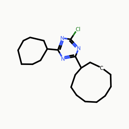 Clc1nc(C2CCCCCCCCCC2)nc(C2CCCCCCC2)n1